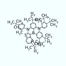 Cc1cc(C(C)(C)C)ccc1N1c2cc(C(C)(C)C)cc3c2B(c2cc4c(cc2N3c2ccc3c(c2)C(C)(C)CCC3(C)C)C(C)(C)CCC4(C)C)c2c1sc1ccc(C(C)(C)C)cc21